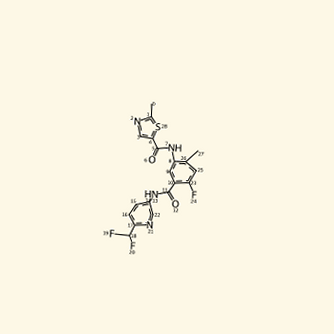 Cc1ncc(C(=O)Nc2cc(C(=O)Nc3ccc(C(F)F)nc3)c(F)cc2C)s1